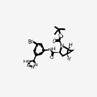 CC(C)(C)OC(=O)N1[C@@H]2C[C@@H]2C[C@H]1C(=O)Nc1cc(Br)cc(-c2nnn[nH]2)c1